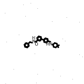 CC1(C)CCC(NCc2ccc(-c3cccc(C(=O)NCCc4ccccc4)c3)cc2)CC1